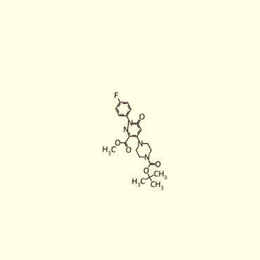 COC(=O)c1nn(-c2ccc(F)cc2)c(=O)cc1N1CCN(C(=O)OC(C)(C)C)CC1